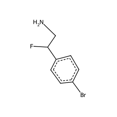 NCC(F)c1ccc(Br)cc1